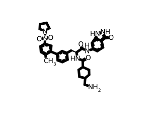 Cc1ccc(S(=O)(=O)N2CCCC2)cc1-c1cccc(C[C@H](NC(=O)C2CCC(CN)CC2)C(=O)Nc2ccc3c(=O)[nH][nH]c3c2)c1